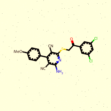 COc1ccc(-c2c(C#N)c(N)nc(SCC(=O)c3cc(Cl)cc(Cl)c3)c2C#N)cc1